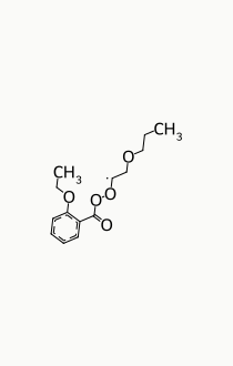 CCCOC[CH]OOC(=O)c1ccccc1OCC